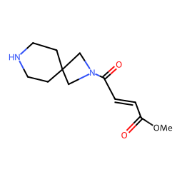 COC(=O)/C=C/C(=O)N1CC2(CCNCC2)C1